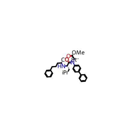 CCOC(=O)[C@@H](CCCc1ccccc1)N[C@@H](CC(C)C)C(=O)N(c1ccc(-c2ccccc2)cc1)[C@@H](C)C(=O)OC